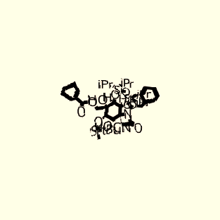 CC(C)[Si]1(C(C)C)O[C@@H]2[C@H](O[Si](C(C)C)(C(C)C)O1)[C@@](O)(COC(=O)c1ccccc1)[C@H](O[Si](C)(C)C(C)(C)C)[C@](O)(C#N)[C@@]21CC(=O)N1OCc1ccccc1